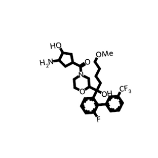 COCCCCC(O)(c1cccc(F)c1-c1cccc(C(F)(F)F)c1)C1CN(C(=O)C2CC(N)C(O)C2)CCO1